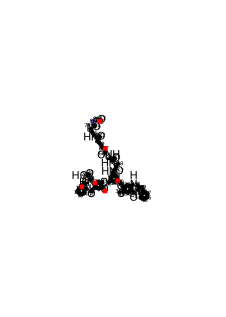 COc1cc(C(=O)N2CCc3ccccc32)c(NCS(=O)(=O)O)cc1OCc1cc(COc2cc3c(cc2OC)C(=O)N2c4ccccc4CC2CN3)cc(NC(=O)C(C)NC(=O)CNC(=O)CCCCC(=O)NCCN(C)C(=O)/C=C\C=O)c1